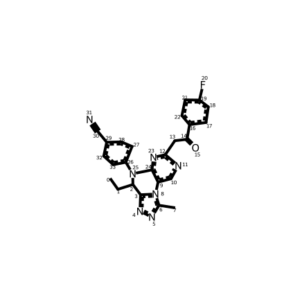 CCC1c2nnc(C)n2-c2cnc(CC(=O)c3ccc(F)cc3)nc2N1c1ccc(C#N)cc1